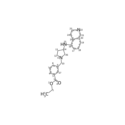 CCOC(=O)c1cccc(CN2CCC(Nc3cccc4cnccc34)C2)c1